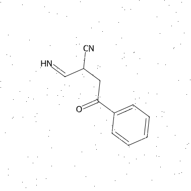 N#CC(C=N)CC(=O)c1ccccc1